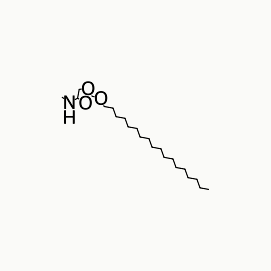 CCCCCCCCCCCCCCCCCCOC1OCC(NC)O1